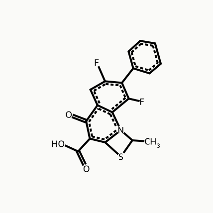 CC1Sc2c(C(=O)O)c(=O)c3cc(F)c(-c4ccccc4)c(F)c3n21